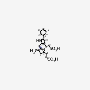 CC1CC(CCC(=O)O)=N/C1=C\c1[nH]c(-c2ccccc2)cc1CCS(=O)(=O)O